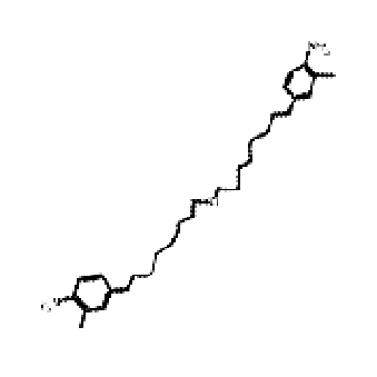 Cc1cc(CCCCCCCCOCCCCCCCCc2ccc(N)c(C)c2)ccc1N